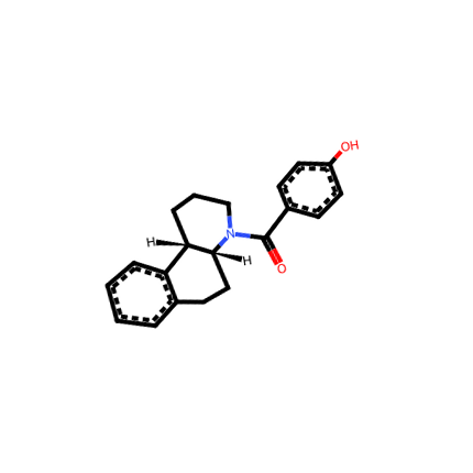 O=C(c1ccc(O)cc1)N1CCC[C@H]2c3ccccc3CC[C@H]21